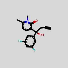 C#CCC(O)(c1cc(F)cc(F)c1)c1ccc(C)n(C)c1=O